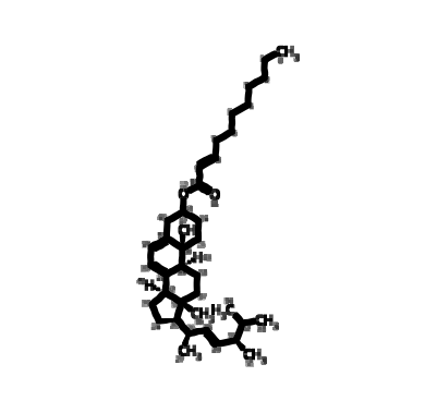 CCCCCCCCC=CC(=O)OC1CC[C@@]2(C)C(=CC=C3[C@@H]4CC[C@H]([C@H](C)C=C[C@H](C)C(C)C)[C@@]4(C)CC[C@@H]32)C1